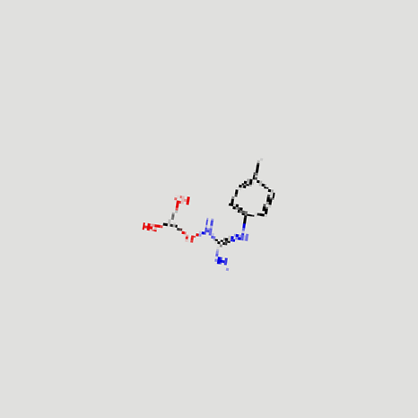 Cc1ccc(N=C(N)NOB(O)O)cc1